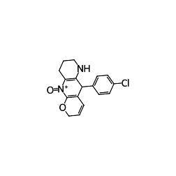 O=[N+]1C2=C(NCCC2)C(c2ccc(Cl)cc2)C2=C1OCC=C2